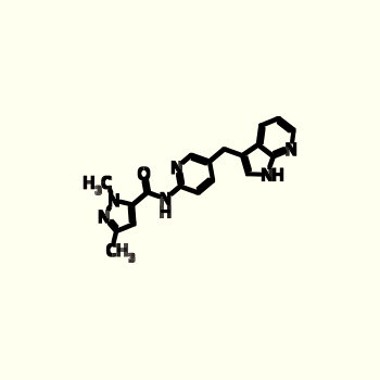 Cc1cc(C(=O)Nc2ccc(Cc3c[nH]c4ncccc34)cn2)n(C)n1